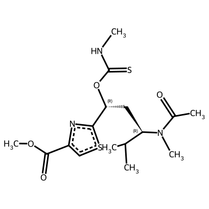 CNC(=S)O[C@H](C[C@H](C(C)C)N(C)C(C)=O)c1nc(C(=O)OC)cs1